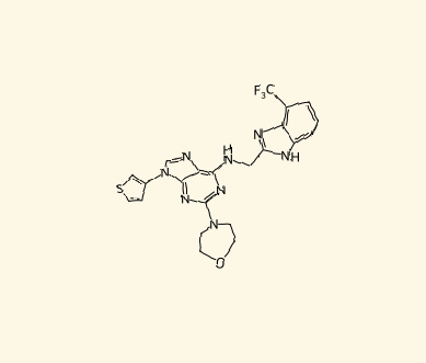 FC(F)(F)c1cccc2[nH]c(CNc3nc(N4CCOCC4)nc4c3ncn4-c3ccsc3)nc12